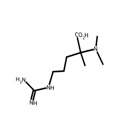 CN(C)C(C)(CCCNC(=N)N)C(=O)O